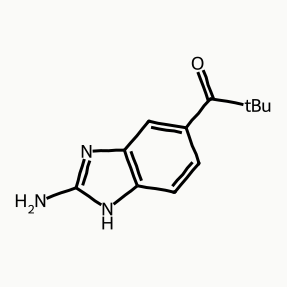 CC(C)(C)C(=O)c1ccc2[nH]c(N)nc2c1